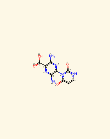 Nc1nc(-n2c(=O)cc[nH]c2=O)c(N)nc1C(=O)O